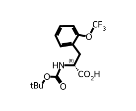 CC(C)(C)OC(=O)N[C@H](Cc1ccccc1OC(F)(F)F)C(=O)O